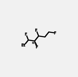 [CH2]CC(F)[C@H](F)C(F)CCF